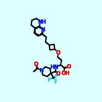 CC(=O)N1CCC(C(=O)N[C@@H](CCOC2CC(CCc3ccc4c(n3)NCCC4)C2)C(=O)O)(C(F)(F)F)CC1